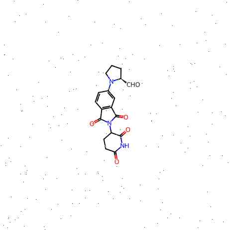 O=C[C@@H]1CCCN1c1ccc2c(c1)C(=O)N(C1CCC(=O)NC1=O)C2=O